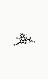 COC(=O)c1cc(-c2c(C)cccc2OC)n(-c2ccc(C#CS)cc2C(C)C)n1